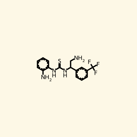 NCC(NC(=S)Nc1ccccc1N)c1cccc(C(F)(F)F)c1